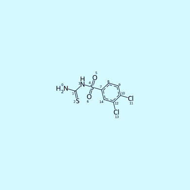 NC(=S)NS(=O)(=O)c1ccc(Cl)c(Cl)c1